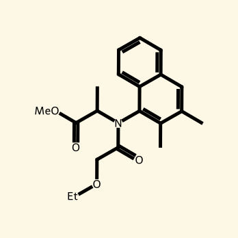 CCOCC(=O)N(c1c(C)c(C)cc2ccccc12)C(C)C(=O)OC